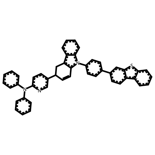 C1=CC(c2ccc(N(c3ccccc3)c3ccccc3)nc2)Cc2c1n(-c1ccc(-c3ccc4c(c3)sc3ccccc34)cc1)c1ccccc21